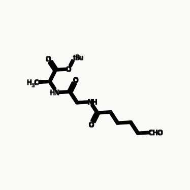 CC(NC(=O)CNC(=O)CCCCC=O)C(=O)OC(C)(C)C